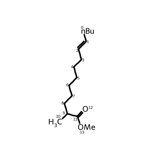 CCCCC=CCCCCCCC(C)C(=O)OC